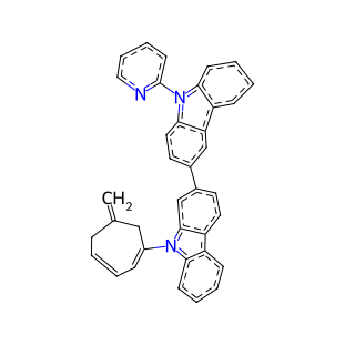 C=C1CC=CC=C(n2c3ccccc3c3ccc(-c4ccc5c(c4)c4ccccc4n5-c4ccccn4)cc32)C1